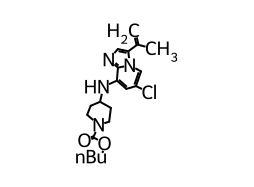 C=C(C)c1cnc2c(NC3CCN(C(=O)OCCCC)CC3)cc(Cl)cn12